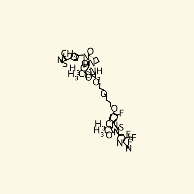 Cc1ncsc1-c1ccc(CNC(=O)[C@@H]2CCCN2C(=O)[C@@H](NC(=O)COCCCOCCCCOc2ccc(N3C(=S)N(c4cnc(C#N)c(C(F)(F)F)c4)C(=O)C3(C)C)cc2F)C(C)(C)C)cc1